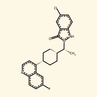 C[C@H]([C@H]1CC[C@@H](c2ccnc3ccc(F)cc32)CC1)n1[nH]c2ccc(Cl)cc2c1=O